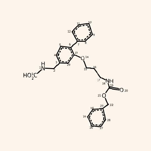 O=C(O)NCc1ccc(-c2ccccc2)c(OCCCNC(=O)OCc2ccccc2)c1